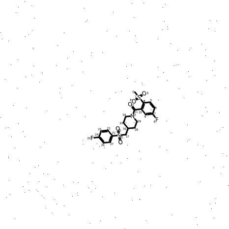 CS(=O)(=O)c1ccc(F)cc1C(=O)N1CCC(CS(=O)(=O)c2ccc(F)cc2)CC1